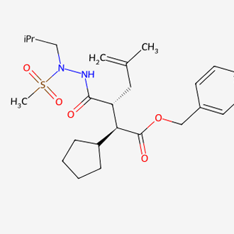 C=C(C)C[C@@H](C(=O)NN(CC(C)C)S(C)(=O)=O)[C@@H](C(=O)OCc1ccccc1)C1CCCC1